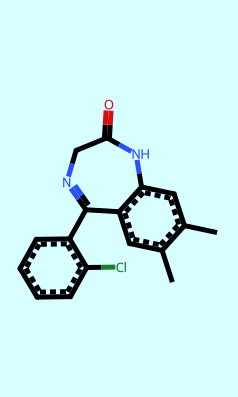 Cc1cc2c(cc1C)C(c1ccccc1Cl)=NCC(=O)N2